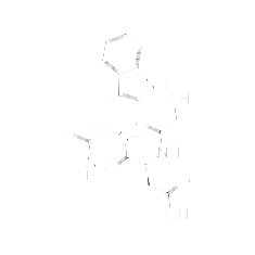 CNC(=O)[C@H](Cc1c[nH]c2ccccc12)NC(=O)[C@H](CC(=O)O)NC(=O)CS